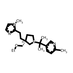 CCOC[C@]1(CCc2nccn2C)CCN(C(C)(C)c2ccc(C)nc2)C1